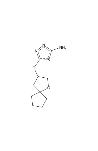 Nc1nnc(OC2COC3(CCCC3)C2)s1